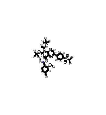 C=C(O/C(=N\C)c1ccc(C)cc1OC)c1nc(-c2ccc(S(=O)(=O)C(C)C)cc2)cnc1N(C(=C)OC(C)(C)C)C(=O)OC(C)(C)C